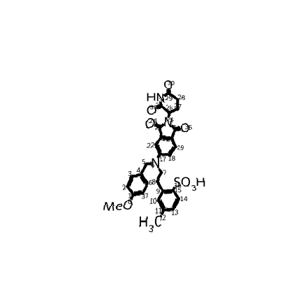 COc1ccc(CN(CCc2cc(C)ccc2S(=O)(=O)O)c2ccc3c(c2)C(=O)N(C2CCC(=O)NC2=O)C3=O)cc1